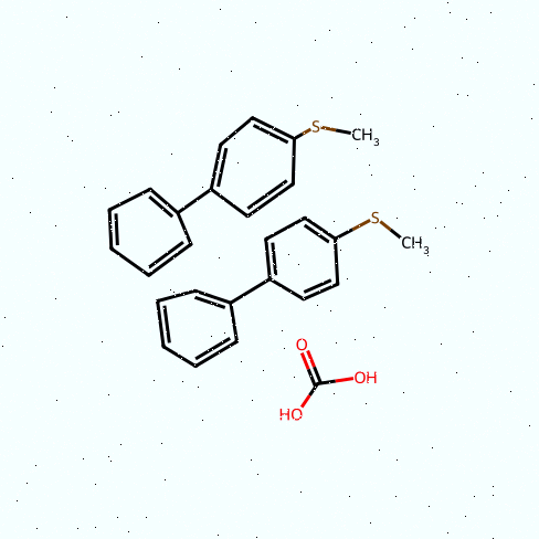 CSc1ccc(-c2ccccc2)cc1.CSc1ccc(-c2ccccc2)cc1.O=C(O)O